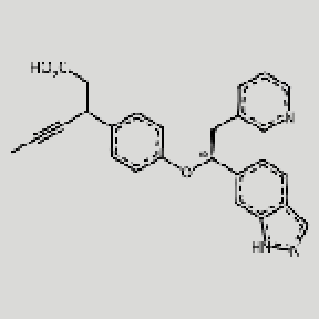 CC#CC(CC(=O)O)c1ccc(O[C@@H](Cc2cccnc2)c2ccc3cn[nH]c3c2)cc1